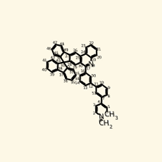 C=N/C=C\C(=C/C)c1cccc(-c2cccc(-c3nc4ccccc4c4cc5c(cc34)C3(c4ccccc4-c4ccccc43)c3ccccc3-5)c2)c1